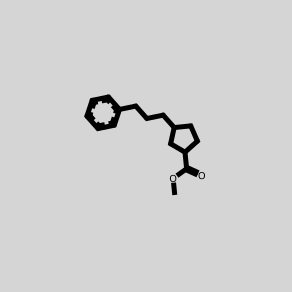 COC(=O)C1CCC(CCCc2ccccc2)C1